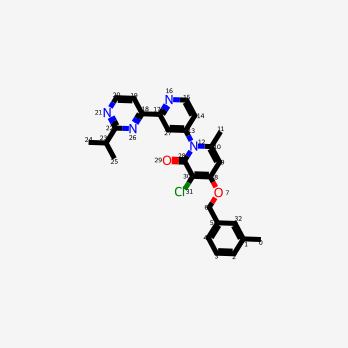 Cc1cccc(COc2cc(C)n(-c3ccnc(-c4ccnc(C(C)C)n4)c3)c(=O)c2Cl)c1